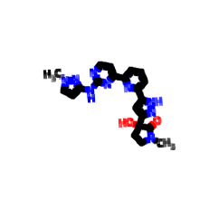 CN1CCC(O)(c2cc(-c3cccc(-c4ccnc(Nc5ccn(C)n5)n4)n3)[nH]n2)C1=O